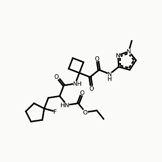 CCOC(=O)NC(CC1(F)CCCC1)C(=O)NC1(C(=O)C(=O)Nc2ccn(C)n2)CCC1